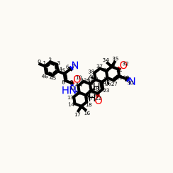 Cc1ccc(/C(C#N)=C/C(=O)N[C@]23CCC(C)(C)C[C@H]2[C@H]2C(=O)C=C4[C@@]5(C)C=C(C#N)C(=O)C(C)(C)C5CC[C@@]4(C)[C@]2(C)CC3)cc1